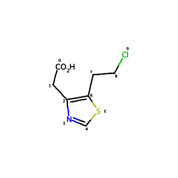 O=C(O)Cc1ncsc1CCCl